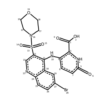 O=C(O)c1[nH]c(=O)ccc1Nc1c(S(=O)(=O)N2CCOCC2)cnc2ccc(Br)cc12